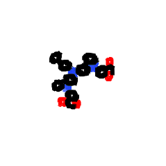 O=c1ccoc2ccc(-n3c4ccccc4c4cc(N(c5ccc(-c6ccccc6)cc5)c5ccc6c(c5)c5ccccc5n6-c5ccc6occc(=O)c6c5)ccc43)cc12